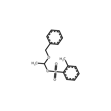 Cc1ccccc1S(=O)(=O)OC(C)OCc1ccccc1